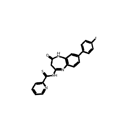 O=C1CC(NC(=S)c2ccccn2)=Nc2ccc(-c3ccc(F)cc3)cc2N1